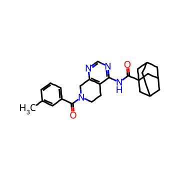 Cc1cccc(C(=O)N2CCc3c(ncnc3NC(=O)C34CC5CC(CC(C5)C3)C4)C2)c1